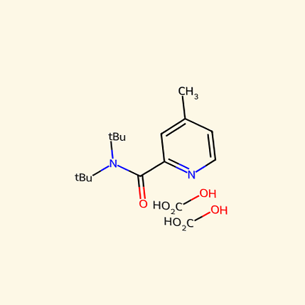 Cc1ccnc(C(=O)N(C(C)(C)C)C(C)(C)C)c1.O=C(O)O.O=C(O)O